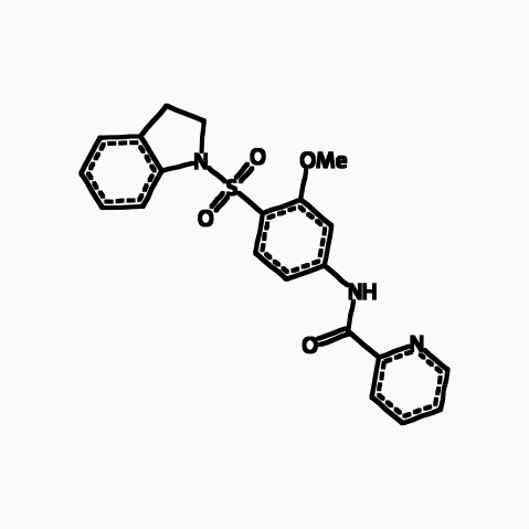 COc1cc(NC(=O)c2ccccn2)ccc1S(=O)(=O)N1CCc2ccccc21